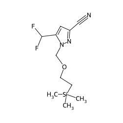 C[Si](C)(C)CCOCn1nc(C#N)cc1C(F)F